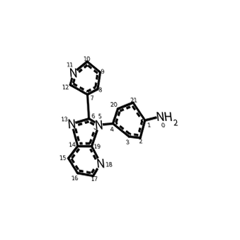 Nc1ccc(-n2c(-c3cccnc3)nc3cccnc32)cc1